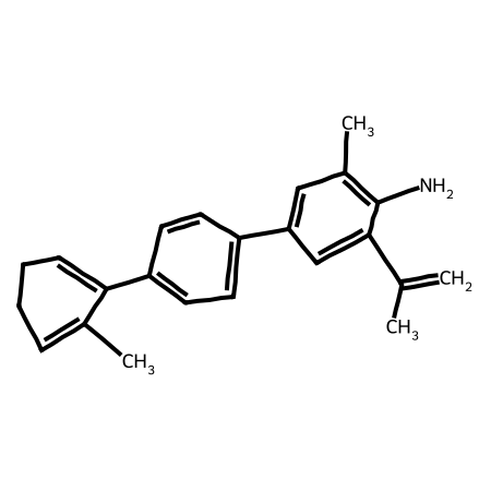 C=C(C)c1cc(-c2ccc(C3=CCCC=C3C)cc2)cc(C)c1N